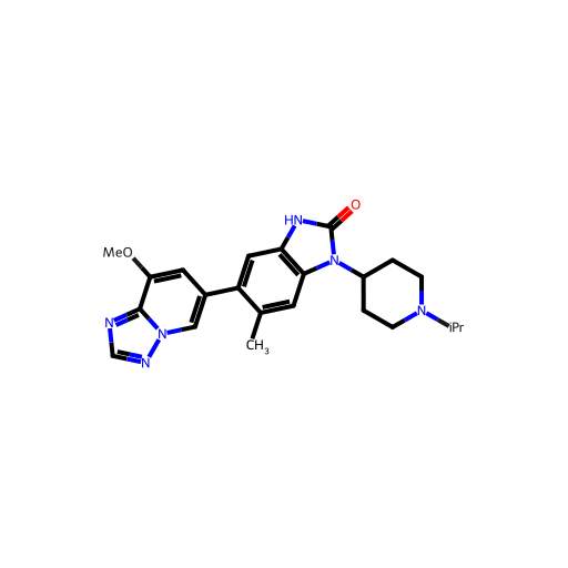 COc1cc(-c2cc3[nH]c(=O)n(C4CCN(C(C)C)CC4)c3cc2C)cn2ncnc12